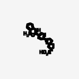 Nc1ccccc1NC(=O)c1ccc(N2CCC3(CCN(C(=O)O)C3)C2)nc1